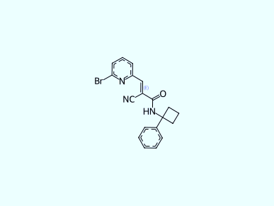 N#C/C(=C\c1cccc(Br)n1)C(=O)NC1(c2ccccc2)CCC1